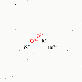 [Hg+2].[K+].[K+].[O-2].[O-2]